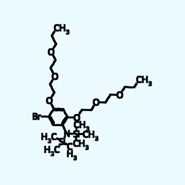 CCCOCCOCCOc1cc(OCCOCCOCCC)c(N([Si](C)(C)C)[Si](C)(C)C)cc1Br